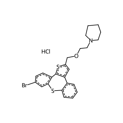 Brc1ccc2c(c1)Sc1ccccc1-c1cc(COCCN3CCCCC3)sc1-2.Cl